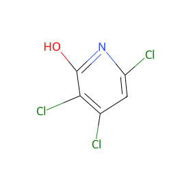 Oc1nc(Cl)cc(Cl)c1Cl